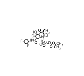 CC(C)OC(=O)OCOP(=O)(O)CCN1n2cc(C(=O)NCc3ccc(F)cc3F)c(=O)c(O)c2C(=O)N(C)C12CCCC2